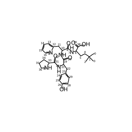 CC(C)(C)CCC(NC(=O)C(Cc1ccccn1)NC(=O)C(Cc1ccc(O)cc1)NC(=O)C1CCCN1)C(=O)O